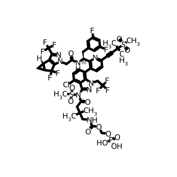 CC(C)(CNC(=O)OCOP(=O)(O)O)CC(=O)N(c1nn(CC(F)(F)F)c2c(-c3ccc(C#CC(C)(C)S(C)(=O)=O)nc3[C@H](Cc3cc(F)cc(F)c3)NC(=O)Cn3nc(C(F)(F)F)c4c3C(F)(F)C3C[C@H]43)ccc(Cl)c12)S(C)(=O)=O